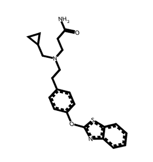 NC(=O)CCN(CCc1ccc(Oc2nc3ccccc3s2)cc1)CC1CC1